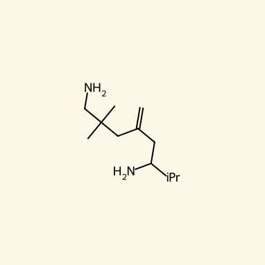 C=C(CC(N)C(C)C)CC(C)(C)CN